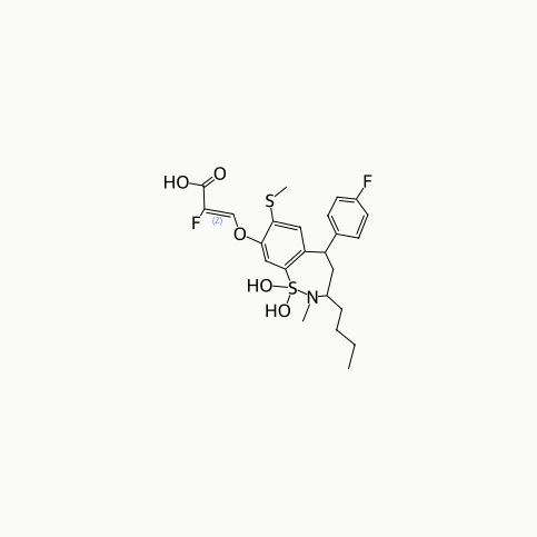 CCCCC1CC(c2ccc(F)cc2)c2cc(SC)c(O/C=C(\F)C(=O)O)cc2S(O)(O)N1C